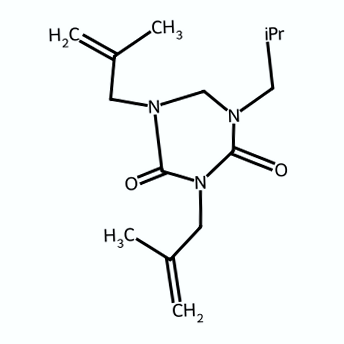 C=C(C)CN1CN(CC(C)C)C(=O)N(CC(=C)C)C1=O